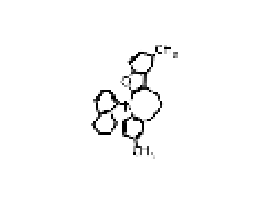 Cc1ccc2c(c1)CCCc1c(oc3ccc(C)cc13)N2c1cccc2c1CCCC2